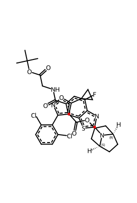 CC(C)(C)OC(=O)CNC(=O)c1cc(F)c2nc(N3[C@@H]4CC[C@H]3CC(OC(=O)c3c(-c5c(Cl)cccc5Cl)noc3C3CC3)C4)sc2c1